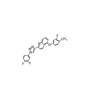 Cc1ccc(Oc2cccc3nc(-c4cn(-c5ccc(F)c(F)c5)nn4)ccc23)cc1F